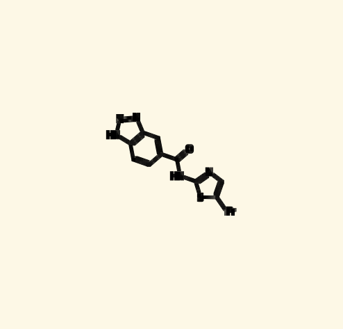 CC(C)c1cnc(NC(=O)c2ccc3[nH]nnc3c2)s1